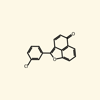 O=C1C=Cc2c(-c3cccc(Cl)c3)oc3cccc1c23